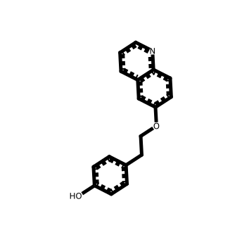 Oc1ccc(CCOc2ccc3ncccc3c2)cc1